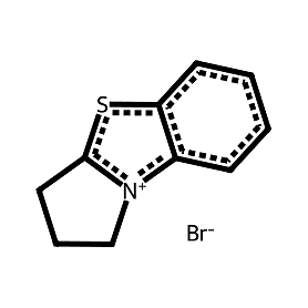 [Br-].c1ccc2c(c1)sc1[n+]2CCC1